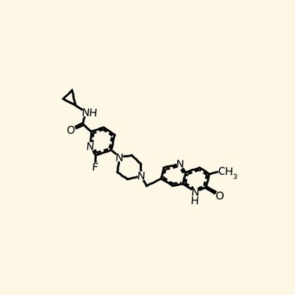 Cc1cc2ncc(CN3CCN(c4ccc(C(=O)NC5CC5)nc4F)CC3)cc2[nH]c1=O